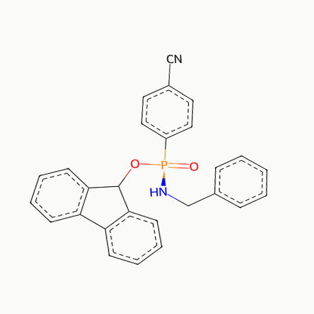 N#Cc1ccc([P@@](=O)(NCc2ccccc2)OC2c3ccccc3-c3ccccc32)cc1